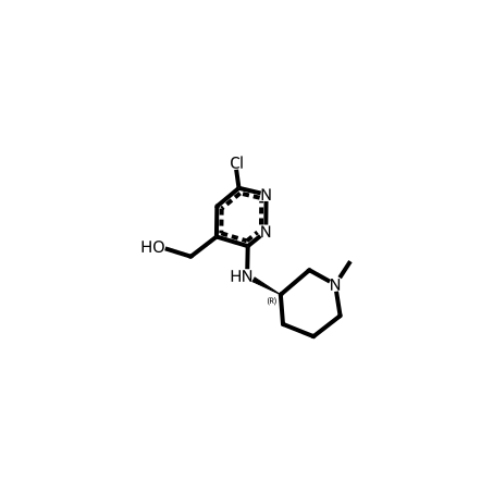 CN1CCC[C@@H](Nc2nnc(Cl)cc2CO)C1